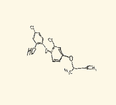 CC(C)Oc1ccc(Oc2ccc(Cl)cc2O)c(Cl)c1